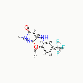 CCOc1nn(C)c(=O)cc1Nc1cccc(C(F)(F)F)c1